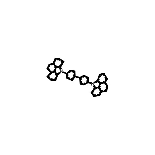 c1cc2ccc3cccc4c3c2c(c1)n4-c1ccc(-c2ccc(-n3c4cccc5ccc6cccc3c6c54)cc2)cc1